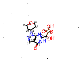 O=c1[nH]c(C(O)S(=O)(=O)O)nc2c1cnn2C1CCOCC1